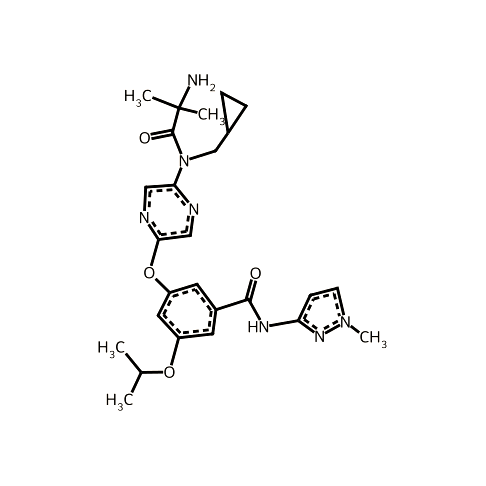 CC(C)Oc1cc(Oc2cnc(N(CC3CC3)C(=O)C(C)(C)N)cn2)cc(C(=O)Nc2ccn(C)n2)c1